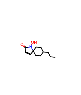 CCCC1CCC2(C=CC(=O)N2O)CC1